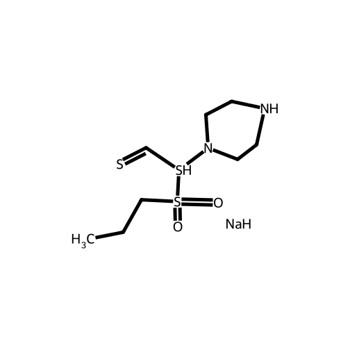 CCCS(=O)(=O)[SH](C=S)N1CCNCC1.[NaH]